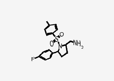 Cc1ccc(S(=O)(=O)N2C(CN)CCC2c2ccc(F)cc2)cc1